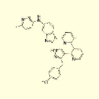 COc1ccc(Cc2n[nH]cc2-c2ncccc2-c2[c]ccc(-n3cnc4cc(Nc5ccc(C)nn5)ccc43)n2)cc1